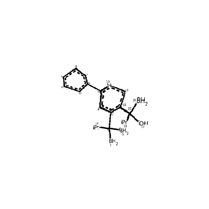 BC(B)(c1cc(-c2ccccc2)ncc1C(B)(O)C(C)C)C(C)C